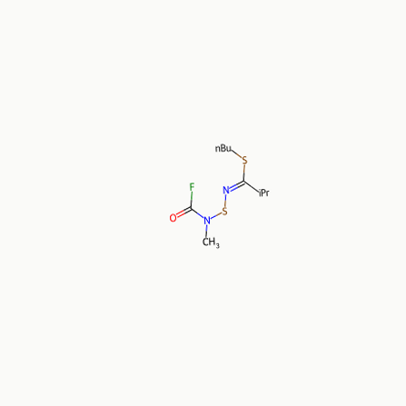 CCCCSC(=NSN(C)C(=O)F)C(C)C